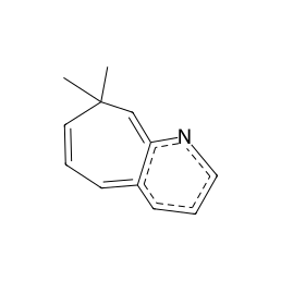 CC1(C)C=CC=c2cccnc2=C1